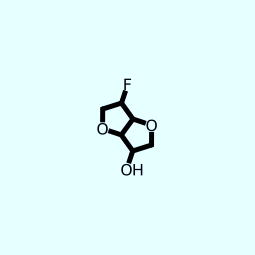 OC1COC2C(F)COC12